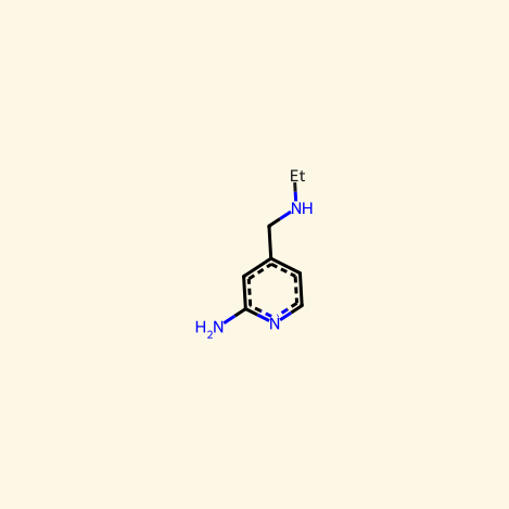 CCNCc1ccnc(N)c1